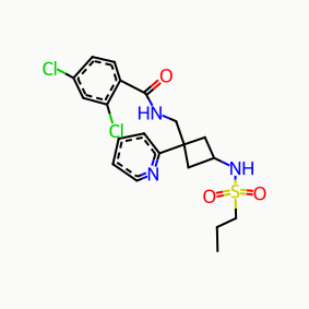 CCCS(=O)(=O)NC1CC(CNC(=O)c2ccc(Cl)cc2Cl)(c2ccccn2)C1